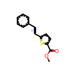 COC(=O)c1ccc(/C=C/c2ccccc2)s1